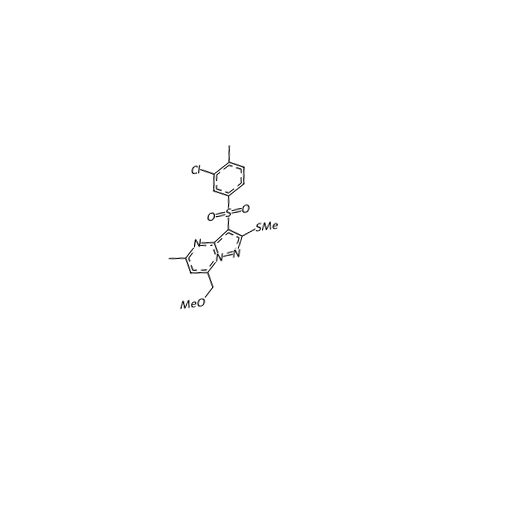 COCc1cc(C)nc2c(S(=O)(=O)c3ccc(C)c(Cl)c3)c(SC)nn12